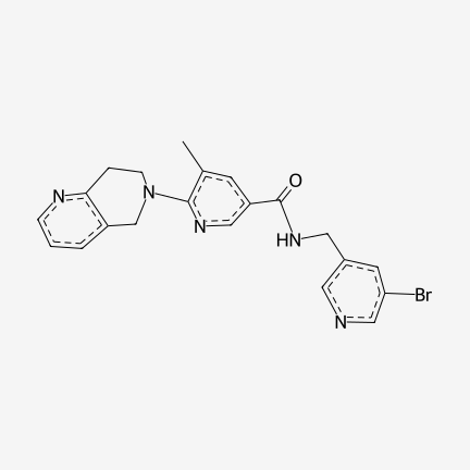 Cc1cc(C(=O)NCc2cncc(Br)c2)cnc1N1CCc2ncccc2C1